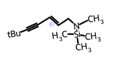 CN(C/C=C/C#CC(C)(C)C)[Si](C)(C)C